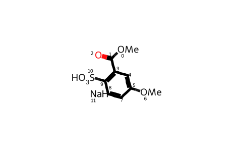 COC(=O)c1cc(OC)ccc1S(=O)(=O)O.[NaH]